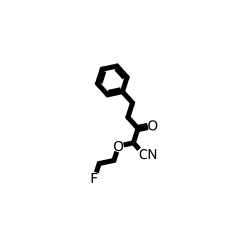 N#CC(OCCF)C(=O)CCc1ccccc1